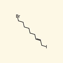 BrCCCCCCC=CCI